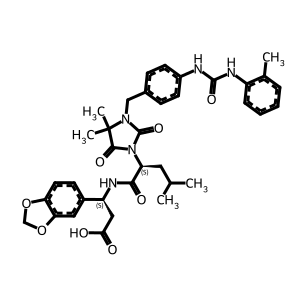 Cc1ccccc1NC(=O)Nc1ccc(CN2C(=O)N([C@@H](CC(C)C)C(=O)N[C@@H](CC(=O)O)c3ccc4c(c3)OCO4)C(=O)C2(C)C)cc1